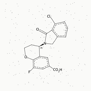 O=C(O)c1cc(F)c2c(c1)[C@H](N1Cc3cccc(Cl)c3C1=O)CCO2